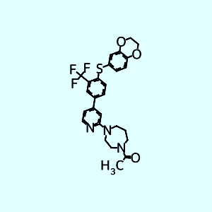 CC(=O)N1CCCN(c2cc(-c3ccc(Sc4ccc5c(c4)OCCO5)c(C(F)(F)F)c3)ccn2)CC1